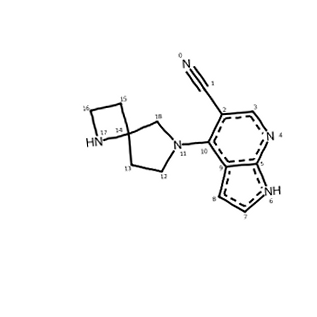 N#Cc1cnc2[nH]ccc2c1N1CCC2(CCN2)C1